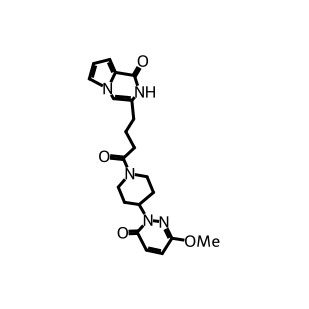 COc1ccc(=O)n(C2CCN(C(=O)CCCc3cn4cccc4c(=O)[nH]3)CC2)n1